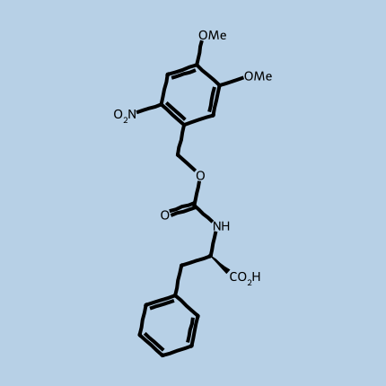 COc1cc(COC(=O)N[C@H](Cc2ccccc2)C(=O)O)c([N+](=O)[O-])cc1OC